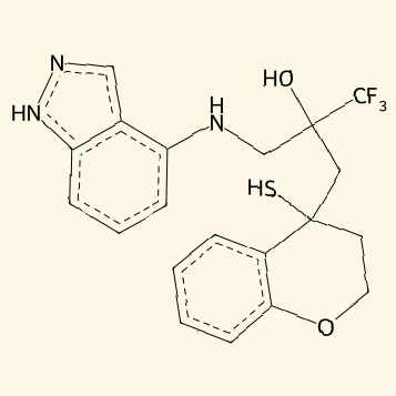 OC(CNc1cccc2[nH]ncc12)(CC1(S)CCOc2ccccc21)C(F)(F)F